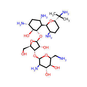 CC(C)(N)[C@@H]1CC[C@@H](N)[C@@H](C2[C@@H](N)C[C@@H](N)[C@H](O)[C@H]2O[C@@H]2O[C@H](CO)[C@@H](O[C@H]3O[C@@H](CN)[C@@H](O)[C@H](O)[C@H]3N)[C@H]2O)O1